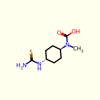 CN(C(=O)O)[C@H]1CC[C@H](NC(N)=S)CC1